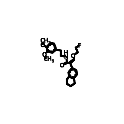 COc1ccc(CCNC(=O)C(=COCCF)c2ccc3c(c2)CCCC3)cc1OC